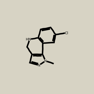 Cn1ncc2c1-c1cc(Cl)ccc1NC2